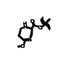 COC1=NCC(C(=O)OC(C)(C)C)NCC1